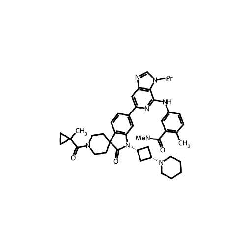 CNC(=O)c1cc(Nc2nc(-c3ccc4c(c3)N([C@H]3C[C@@H](N5CCCCC5)C3)C(=O)C43CCN(C(=O)C4(C)CC4)CC3)cc3ncn(C(C)C)c23)ccc1C